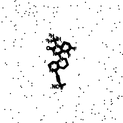 [2H]C([2H])([2H])n1c(=O)nc(N2CCCc3c2ccnc3C#CC(C)(C)C#N)c2c(F)c(F)ccc21